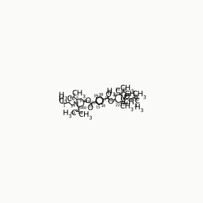 CCCCN1C(C(C)C)CC(OC(=O)c2ccc(C(=O)OC3CC(C)(C)N(OCC(C)C)C(C)(C(C)C)C3)cc2)CC1C(C)C